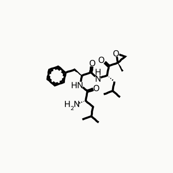 CC(C)C[C@H](NC(=O)[C@H](Cc1ccccc1)NC(=O)[C@@H](N)CC(C)C)C(=O)[C@@]1(C)CO1